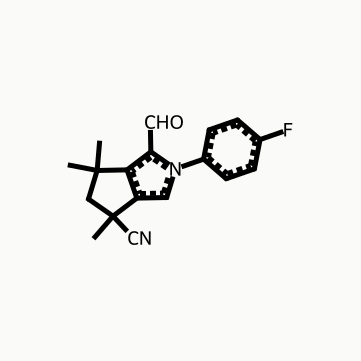 CC1(C)CC(C)(C#N)c2cn(-c3ccc(F)cc3)c(C=O)c21